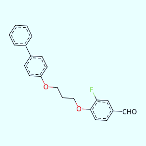 O=Cc1ccc(OCCCOc2ccc(-c3ccccc3)cc2)c(F)c1